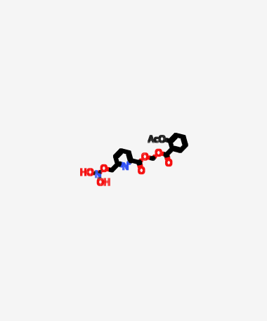 CC(=O)Oc1ccccc1C(=O)OCOC(=O)c1cccc(CON(O)O)n1